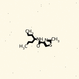 CCCC(CCC)NC(=O)c1csc(C)n1